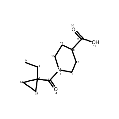 CCC1(C(=O)N2CCC(C(=O)O)CC2)CC1